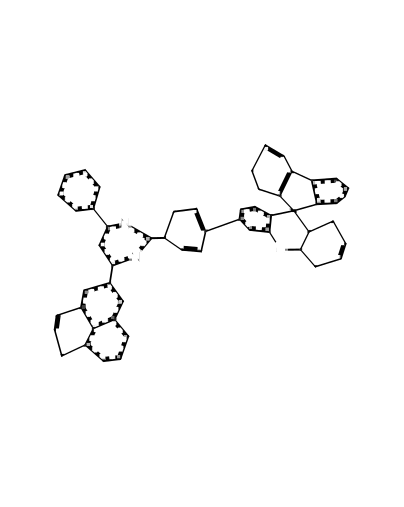 C1=CC2=C(CC1)C1(c3ccc(C4=CCC(c5nc(-c6ccccc6)cc(-c6cc7c8c(cccc8c6)CC=C7)n5)C=C4)cc3OC3CC=CCC31)c1ccccc12